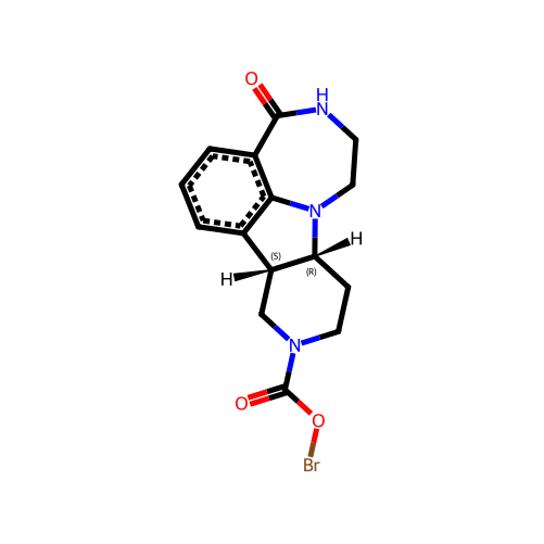 O=C1NCCN2c3c1cccc3[C@H]1CN(C(=O)OBr)CC[C@H]12